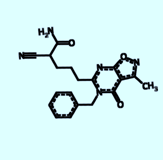 Cc1noc2nc(CCCC(C#N)C(N)=O)n(Cc3ccccc3)c(=O)c12